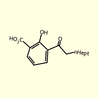 CCCCCCCCC(=O)c1cccc(C(=O)O)c1O